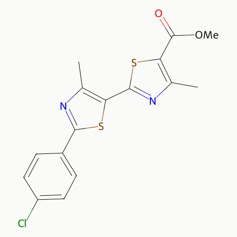 COC(=O)c1sc(-c2sc(-c3ccc(Cl)cc3)nc2C)nc1C